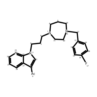 CC(=O)c1cn(CCCN2CCCN(Cc3ccc(F)cc3)CC2)c2ncccc12